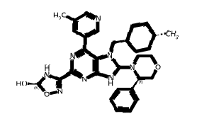 Cc1cncc(-c2nc(C3=NO[C@@H](O)N3)nc3c2N(C[C@H]2CC[C@H](C)CC2)C(N2CCOC[C@H]2c2ccccc2)N3)c1